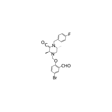 C[C@@H]1CN(COc2ccc(Br)cc2C=O)[C@@H](C)C(=C=O)N1Cc1ccc(F)cc1